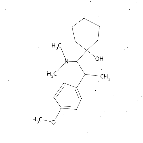 COc1ccc(C(C)C(N(C)C)C2(O)CCCCC2)cc1